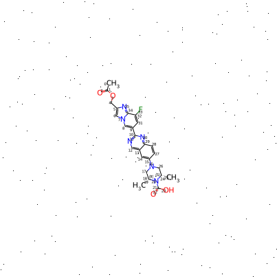 CC(=O)OCc1cn2cc(-c3ncc4cc(N5C[C@@H](C)N(C(=O)O)[C@@H](C)C5)ccc4n3)cc(F)c2n1